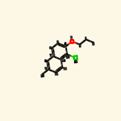 CCCOc1ccc2cc(C)ccc2c1Cl